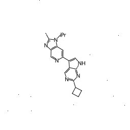 Cc1nc2cnc(-c3c[nH]c4nc(C5CCC5)ncc34)cc2n1C(C)C